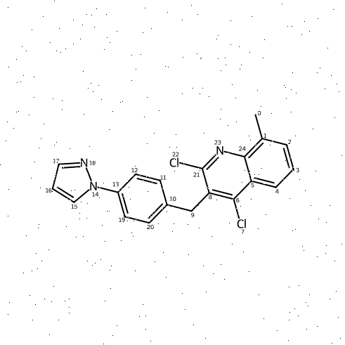 Cc1cccc2c(Cl)c(Cc3ccc(-n4cccn4)cc3)c(Cl)nc12